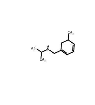 CC1C=CC=C(CNC(C)C)C1